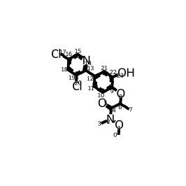 CON(C)C(=O)C(C)Oc1ccc(-c2ncc(Cl)cc2Cl)cc1O